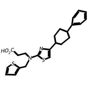 O=C(O)CCN(Cc1cccs1)c1nc(C2CCC(c3ccccc3)CC2)cs1